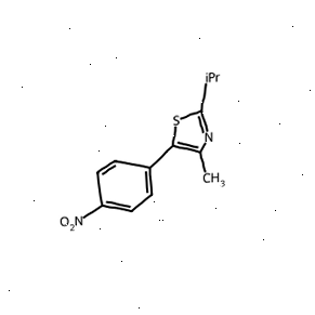 Cc1nc(C(C)C)sc1-c1ccc([N+](=O)[O-])cc1